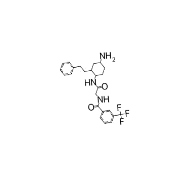 NC1CCC(NC(=O)CNC(=O)c2cccc(C(F)(F)F)c2)C(CCc2ccccc2)C1